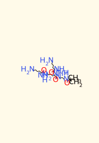 C=C(C)C(=O)NCCCNC(=O)C(CCCCNC(=O)C(N)CCCCN)NC(=O)C(N)CCCCN